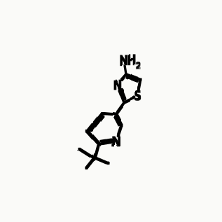 CC(C)(C)c1ccc(-c2nc(N)cs2)cn1